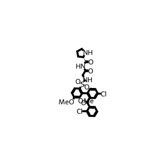 COc1ccc(S(=O)(=O)NCC(=O)NC(=O)[C@@H]2CCCN2)c(-c2ccc(Cl)cc2C(=O)c2ccccc2Cl)c1OC